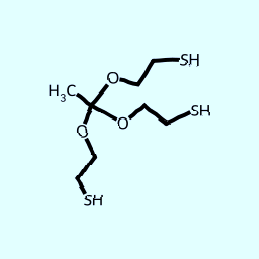 CC(OCCS)(OCCS)OCCS